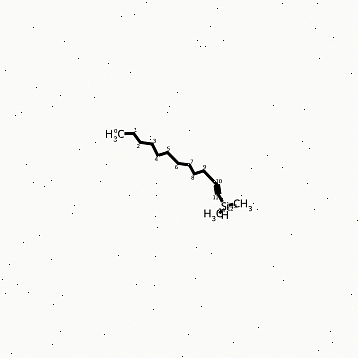 CCCCCCCCCCC#C[SiH](C)C